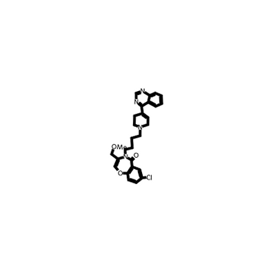 COCC1=COc2ccc(Cl)cc2C(=O)N1CCCCN1CC=C(c2ncnc3ccccc23)CC1